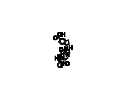 N#C[C@@H]1CCCN1C(=O)[C@@H](N)CN1C[C@@H]2C[C@H]1C(=O)N2[C@H]1CCc2cc(C(=O)O)ccc21